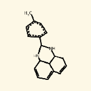 Cc1ccc(C2NC3C=CC=C4C=CCC(N2)C43)cc1